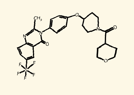 Cc1nc2ccc(S(F)(F)(F)(F)F)cc2c(=O)n1-c1ccc(OC2CCN(C(=O)C3CCOCC3)CC2)cc1